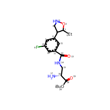 CCC1ONCC1c1cc(F)cc(C(=O)NC[C@@H](N)C(=O)OCC(C)C)c1